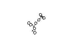 CC1(C)c2ccccc2-c2ccc(N(c3ccc(-c4ccc(-n5c6ccccc6c6ccccc65)cc4)cc3)c3ccc4ccccc4c3)cc21